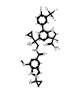 COc1cc(C(=O)NCC(O)(c2cc3c(c(-c4ccc(F)c(C(F)(F)F)c4)n2)OC[C@]3(C)C(N)=O)C2CC2)cc2cn(C3(Cl)CC3)nc12